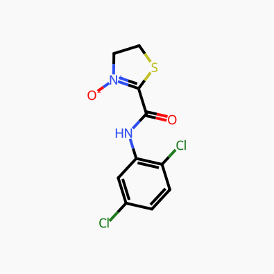 O=C(Nc1cc(Cl)ccc1Cl)C1=[N+]([O-])CCS1